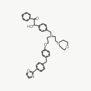 O=C(c1ccccc1)C(O)c1ccc(CN(CCOc2ccc(Cc3ccc(-c4ncco4)cc3)cc2)CCN2CCOCC2)cc1